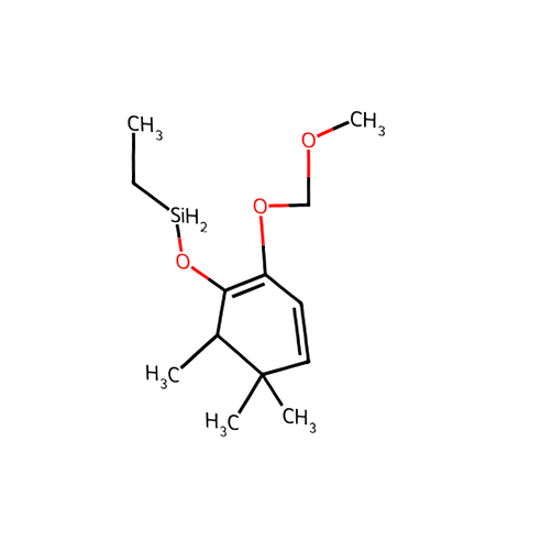 CC[SiH2]OC1=C(OCOC)C=CC(C)(C)C1C